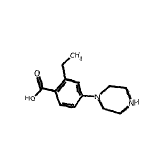 CCc1cc(N2CCNCC2)ccc1C(=O)O